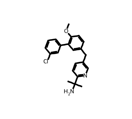 COc1ccc(Cc2ccc(C(C)(C)N)nc2)cc1-c1cccc(Cl)c1